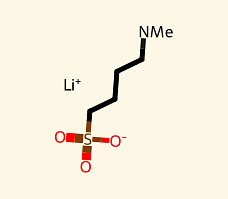 CNCCCCS(=O)(=O)[O-].[Li+]